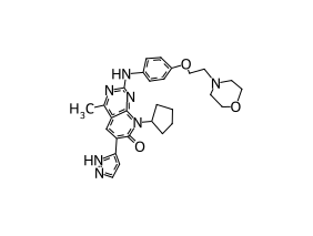 Cc1nc(Nc2ccc(OCCN3CCOCC3)cc2)nc2c1cc(-c1ccn[nH]1)c(=O)n2C1CCCC1